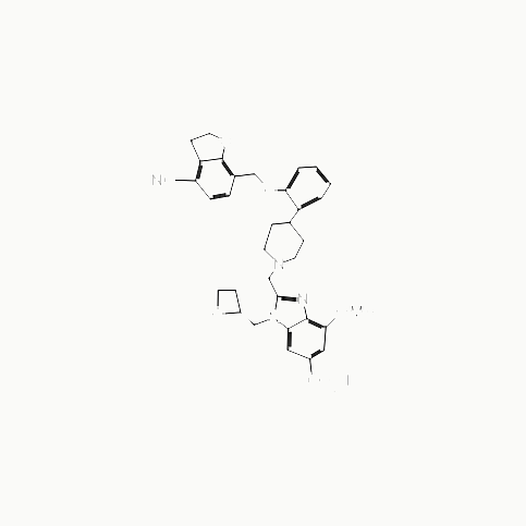 COc1cc(C(=O)O)cc2c1nc(CN1CCC(c3ccccc3OCc3ccc(C#N)c4c3OCC4)CC1)n2C[C@@H]1CCO1